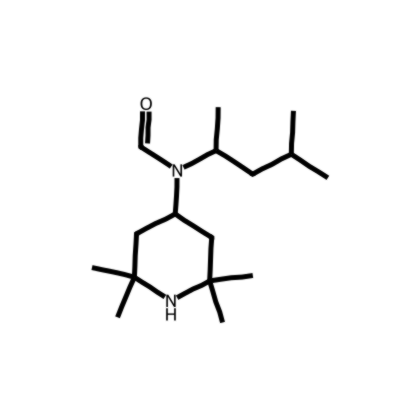 CC(C)CC(C)N(C=O)C1CC(C)(C)NC(C)(C)C1